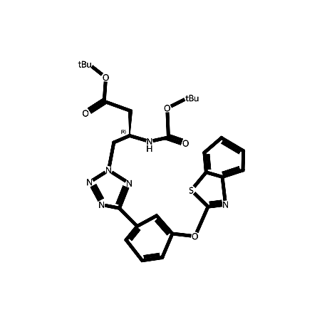 CC(C)(C)OC(=O)C[C@H](Cn1nnc(-c2cccc(Oc3nc4ccccc4s3)c2)n1)NC(=O)OC(C)(C)C